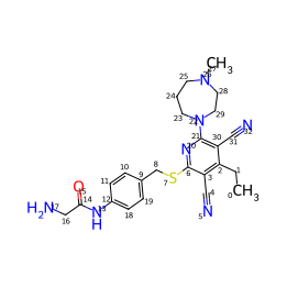 CCc1c(C#N)c(SCc2ccc(NC(=O)CN)cc2)nc(N2CCCN(C)CC2)c1C#N